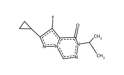 CC(C)n1ncn2nc(C3CC3)c(F)c2c1=O